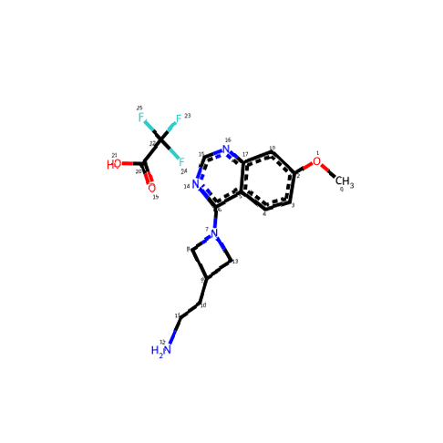 COc1ccc2c(N3CC(CCN)C3)ncnc2c1.O=C(O)C(F)(F)F